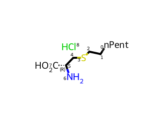 CCCCCCCSC[C@H](N)C(=O)O.Cl